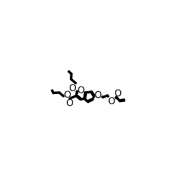 C=CC(=O)OCCOc1ccc(C=C(C(=O)OCCCC)C(=O)OCCCC)cc1